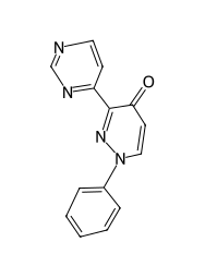 O=c1ccn(-c2ccccc2)nc1-c1ccncn1